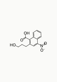 O=C(O)c1c(CCCO)cc([N+](=O)[O-])c2ccccc12